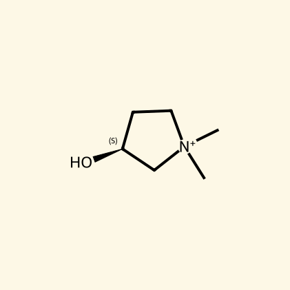 C[N+]1(C)CC[C@H](O)C1